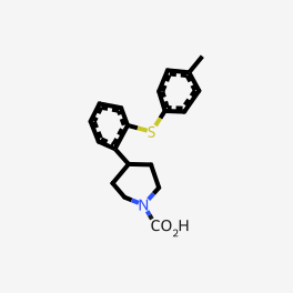 Cc1ccc(Sc2ccccc2C2CCN(C(=O)O)CC2)cc1